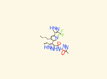 C=Cc1[nH]nc(C(=O)Nc2nnc(C)o2)c1-c1cnc(-c2c[nH]nc2C(F)(F)F)cc1CCCC